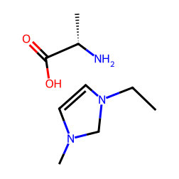 CCN1C=CN(C)C1.C[C@H](N)C(=O)O